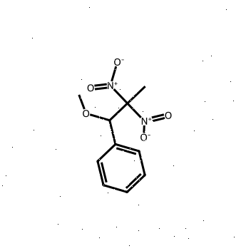 COC(c1ccccc1)C(C)([N+](=O)[O-])[N+](=O)[O-]